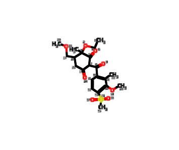 CCOC1(C)C(=O)C(C(=O)c2ccc(S(C)(=O)=O)c(OC)c2C)C(=O)CC1COC